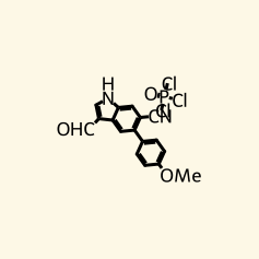 COc1ccc(-c2cc3c(C=O)c[nH]c3cc2C#N)cc1.O=P(Cl)(Cl)Cl